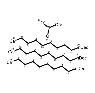 CCCCCCCCCCCCCCCCC[CH2][Ca+].CCCCCCCCCCCCCCCCC[CH2][Ca+].CCCCCCCCCCCCCCCCC[CH2][Ca+].[O-]B([O-])[O-]